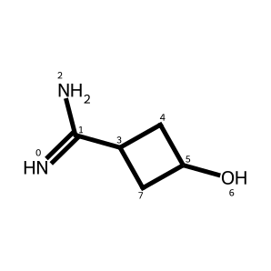 N=C(N)C1CC(O)C1